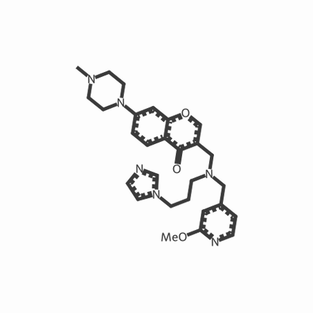 COc1cc(CN(CCCn2ccnc2)Cc2coc3cc(N4CCN(C)CC4)ccc3c2=O)ccn1